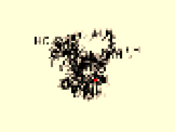 C[C@H](NC(=O)[C@H](C)NC(=O)[C@H](CCC(=O)O)NC(=O)[C@H](CC(=O)O)NC(=O)[C@@H]1CCCN1)C(=O)N[C@@H](Cc1ccccc1)C(=O)N[C@@H](Cc1ccccc1)C(=O)N[C@@H](CC(=O)O)C(=O)N[C@H](C(=O)N[C@@H](C)C(=O)N[C@@H](CO)C(=O)N[C@H](C(=O)NCC(=O)N[C@@H](CCCCN)C(=O)O)[C@@H](C)O)[C@@H](C)O